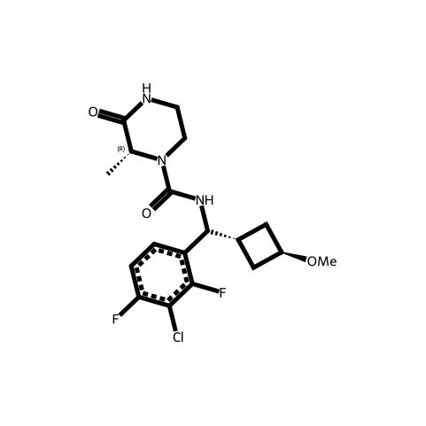 CO[C@H]1C[C@H](C(NC(=O)N2CCNC(=O)[C@H]2C)c2ccc(F)c(Cl)c2F)C1